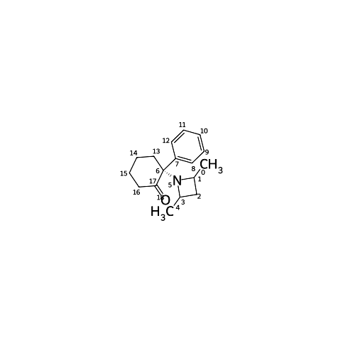 CC1CC(C)N1[C@@]1(c2ccccc2)CCCCC1=O